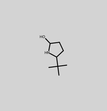 CC(C)(C)C1CCC(O)N1